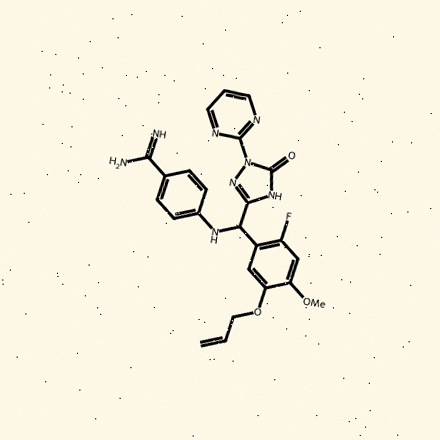 C=CCOc1cc(C(Nc2ccc(C(=N)N)cc2)c2nn(-c3ncccn3)c(=O)[nH]2)c(F)cc1OC